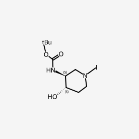 CC(C)(C)OC(=O)N[C@H]1CN(I)CC[C@@H]1O